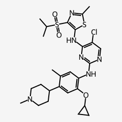 Cc1nc(S(=O)(=O)C(C)C)c(Nc2nc(Nc3cc(C)c(C4CCN(C)CC4)cc3OC3CC3)ncc2Cl)s1